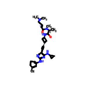 C[C@@H](C(=O)N[C@H]1C[C@H](C#Cc2cnc(Nc3cccc(C#N)c3)nc2NC2CC2)C1)N(C)C(=O)/C=C/CN(C)C